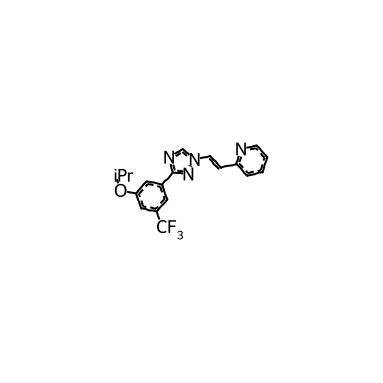 CC(C)Oc1cc(-c2ncn(C=Cc3ccccn3)n2)cc(C(F)(F)F)c1